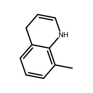 Cc1cccc2c1NC=CC2